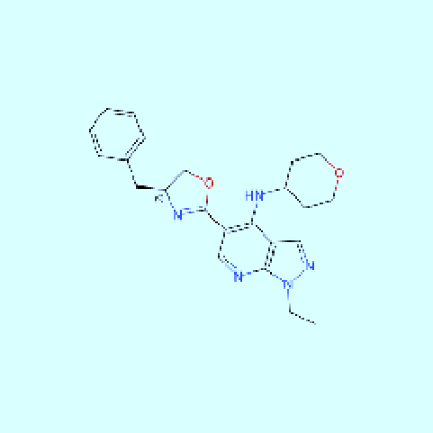 CCn1ncc2c(NC3CCOCC3)c(C3=N[C@@H](Cc4ccccc4)CO3)cnc21